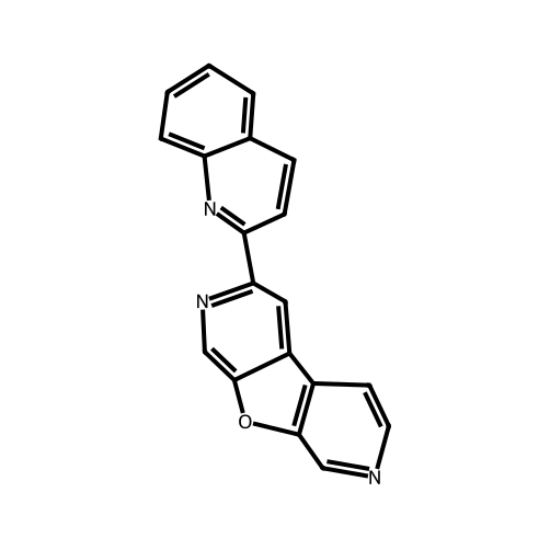 c1ccc2nc(-c3cc4c(cn3)oc3cnccc34)ccc2c1